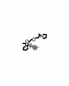 Br.CC[N+]1(C(C)OCCOCCC(C)N2CCCC2)CCCC1.[Br-]